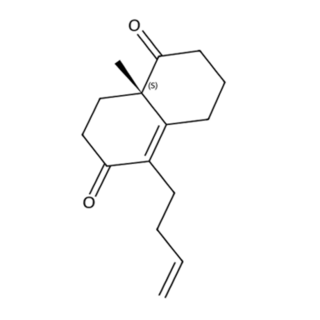 C=CCCC1=C2CCCC(=O)[C@@]2(C)CCC1=O